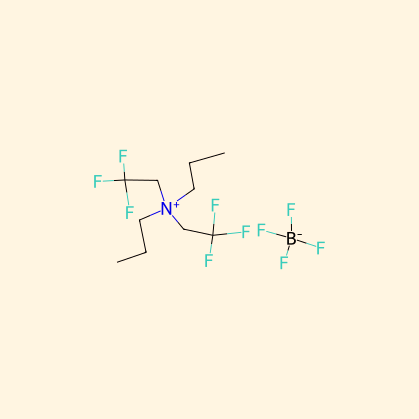 CCC[N+](CCC)(CC(F)(F)F)CC(F)(F)F.F[B-](F)(F)F